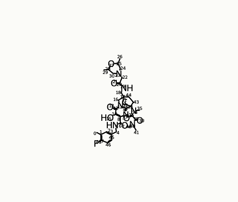 Cc1cc(CNC(=O)c2nc3n(c(=O)c2O)CC2(CNC(=O)CN4CC(C)OC(C)C4)CCC3(N(C)C(=O)C(=O)N(C)C)CC2)ccc1F